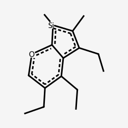 CCc1coc2[si](C)c(C)c(CC)c-2c1CC